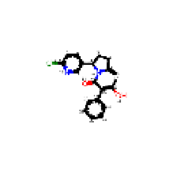 C=C1CCC(c2ccc(Cl)nc2)N1C(=O)/C(=C(\C)O)c1ccccc1